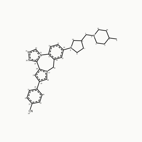 CC1CCN(CC2CCN(c3ccc4c(c3)Cn3cc(-c5ccc(C#N)cc5)cc3-c3nncn3-4)C2)CC1